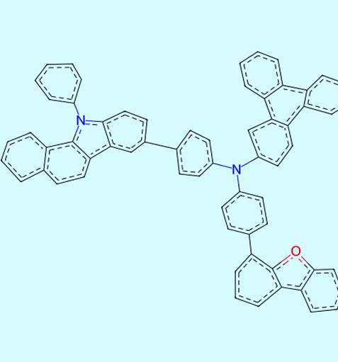 c1ccc(-n2c3ccc(-c4ccc(N(c5ccc(-c6cccc7c6oc6ccccc67)cc5)c5ccc6c7ccccc7c7ccccc7c6c5)cc4)cc3c3ccc4ccccc4c32)cc1